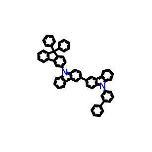 c1ccc(-c2cccc(-n3c4ccccc4c4cc(-c5ccc6c(c5)c5ccccc5n6-c5ccc6c(c5)-c5ccccc5C6(c5ccccc5)c5ccccc5)ccc43)c2)cc1